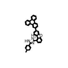 CC1C=CC(C(=N)/N=C(\N)c2cccc3oc4cc(-c5ccc6c7ccccc7c7ccccc7c6c5)ccc4c23)=CC1